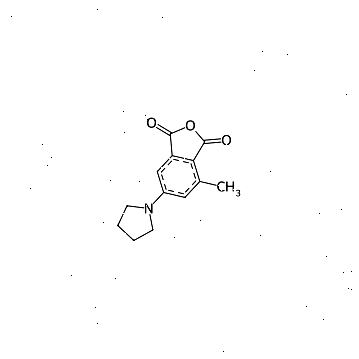 Cc1cc(N2CCCC2)cc2c1C(=O)OC2=O